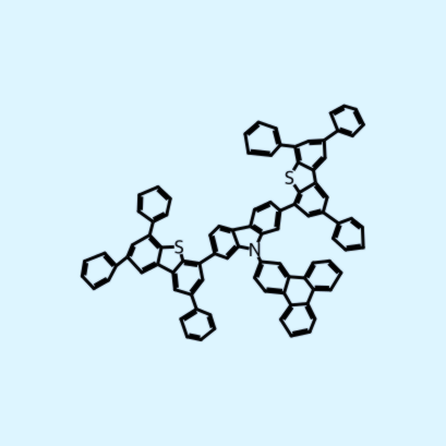 c1ccc(-c2cc(-c3ccccc3)c3sc4c(-c5ccc6c7ccc(-c8cc(-c9ccccc9)cc9c8sc8c(-c%10ccccc%10)cc(-c%10ccccc%10)cc89)cc7n(-c7ccc8c9ccccc9c9ccccc9c8c7)c6c5)cc(-c5ccccc5)cc4c3c2)cc1